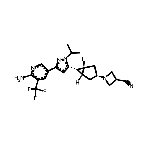 CC(C)n1nc(-c2cnc(N)c(C(F)(F)F)c2)cc1[C@@H]1[C@@H]2C[C@@H](N3CC(C#N)C3)C[C@@H]21